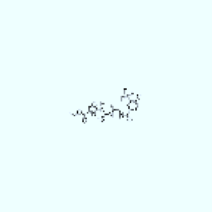 C=C(CN(C)C(=O)c1ccc(Cl)c(C(F)(F)F)c1)/N=C(\Nc1nc(C(=O)OCC)co1)SC